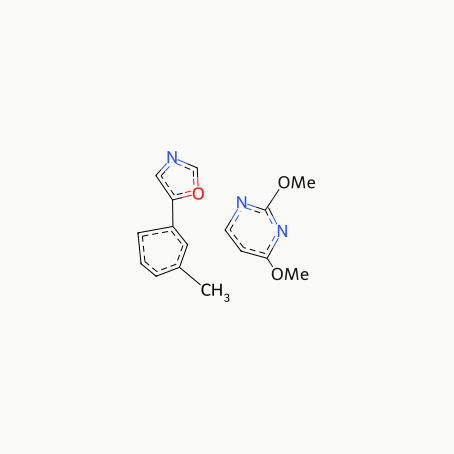 COc1ccnc(OC)n1.Cc1cccc(-c2cnco2)c1